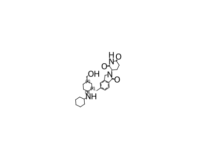 O=C1CCC(N2Cc3cc(C[C@H]4C[C@H](CO)CC[C@@H]4NC4CCCCC4)ccc3C2=O)C(=O)N1